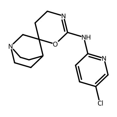 Clc1ccc(NC2=NCCC3(CN4CCC3CC4)O2)nc1